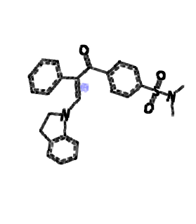 CN(C)S(=O)(=O)c1ccc(C(=O)/C(=C/N2CCc3ccccc32)c2ccccc2)cc1